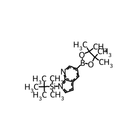 CC1(C)OB(c2cnc3c(ccn3[Si](C)(C)C(C)(C)C)c2)OC1(C)C